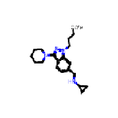 COCCCn1nc(N2CCCCC2)c2ccc(CNC3CC3)cc21